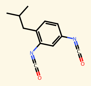 CC(C)Cc1ccc(N=C=O)cc1N=C=O